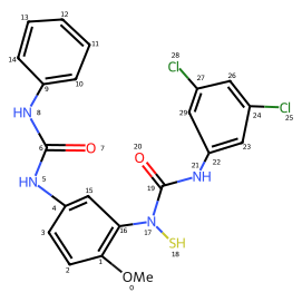 COc1ccc(NC(=O)Nc2ccccc2)cc1N(S)C(=O)Nc1cc(Cl)cc(Cl)c1